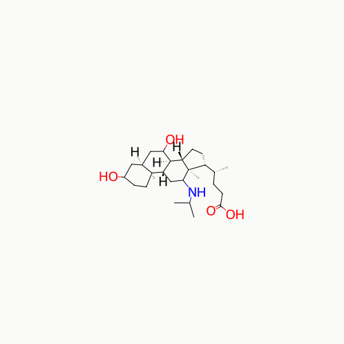 CC(C)NC1C[C@H]2[C@@H](C(O)C[C@@H]3CC(O)CC[C@@]32C)[C@@H]2CC[C@H]([C@H](C)CCC(=O)O)[C@@]12C